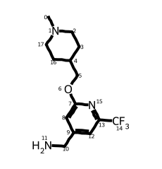 CN1CCC(COc2cc(CN)cc(C(F)(F)F)n2)CC1